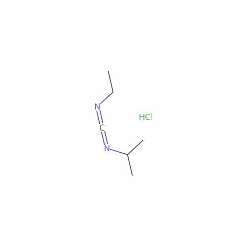 CCN=C=NC(C)C.Cl